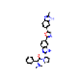 Cc1nc2ccc(-c3cnc(-c4ccc5nc([C@@H]6CCCN6C(=O)[C@@H](c6ccccc6)N(C)C)[nH]c5c4)o3)cc2[nH]1